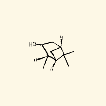 C[C@@H]1C(O)C[C@H]2C[C@@H]1C2(C)C